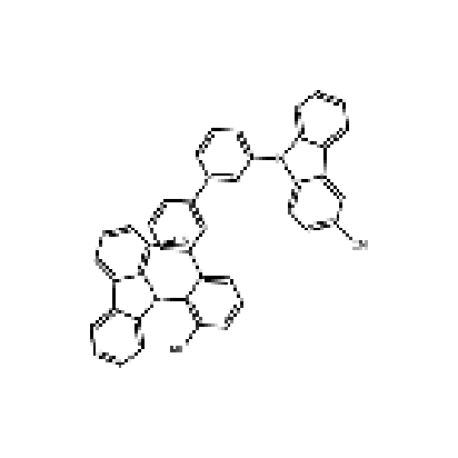 N#Cc1ccc2c(c1)c1ccccc1n2-c1cccc(-c2cccc(-c3cccc(C#N)c3-n3c4ccccc4c4cccc(C#N)c43)c2)c1